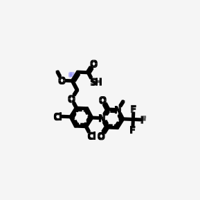 CO/C(=C/C(=O)S)COc1cc(-n2c(=O)cc(C(F)(F)F)n(C)c2=O)c(Cl)cc1Cl